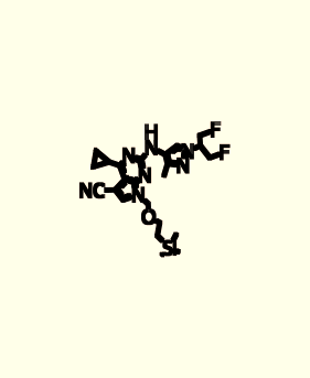 Cc1nn(C(CF)CF)cc1Nc1nc(C2CC2)c2c(C#N)cn(COCC[Si](C)(C)C)c2n1